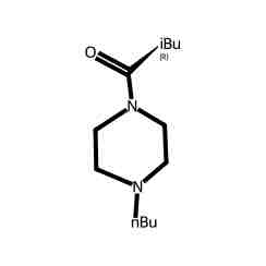 CCCCN1CCN(C(=O)[C@H](C)CC)CC1